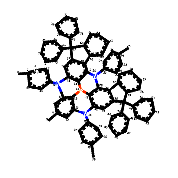 Cc1ccc(N2c3cc(C)cc4c3P3c5c2cc2c(c5N(c5ccc(C)cc5)c5c6c(cc(c53)N4c3ccc(C)cc3)C(c3ccccc3)(c3ccccc3)c3ccccc3-6)-c3ccccc3C2(c2ccccc2)c2ccccc2)cc1